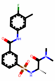 Cc1cc(NC(=O)c2cccc(S(=O)(=O)N[C@@H](C)C(=O)N(C)C)c2)ccc1F